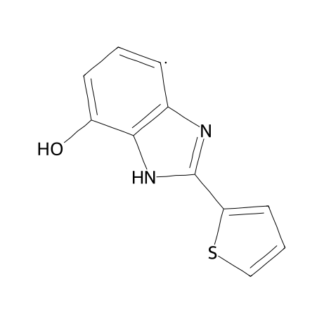 Oc1cc[c]c2nc(-c3cccs3)[nH]c12